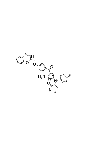 CC(NC(=O)COc1ccc(C(=O)c2sc(N(c3ccc(F)cc3)C(C)C(N)=O)nc2N)cc1)c1ccccc1